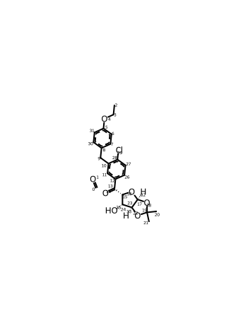 C=O.CCOc1ccc(Cc2cc(C(=O)[C@@H]3O[C@H]4OC(C)(C)O[C@H]4[C@@H]3O)ccc2Cl)cc1